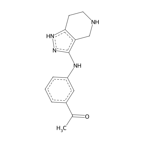 CC(=O)c1cccc(Nc2n[nH]c3c2CNCC3)c1